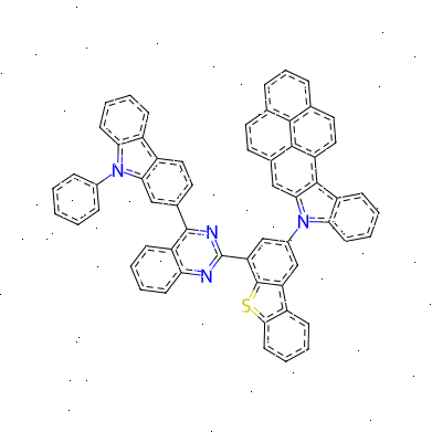 c1ccc(-n2c3ccccc3c3ccc(-c4nc(-c5cc(-n6c7ccccc7c7c8ccc9cccc%10ccc(cc76)c8c%109)cc6c5sc5ccccc56)nc5ccccc45)cc32)cc1